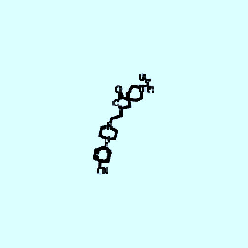 CS(=O)(=O)N1CCC2(CC1)CC(CCN1CCN(c3ccc(C#N)cc3)CC1)OC2=O